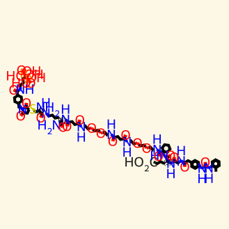 Cc1ccccc1NC(=O)Nc1ccc(CC(=O)NCC(=O)N[C@@H](CCCC(=O)O)C(=O)NC2(C(=O)NCCOCCOCCNC(=O)CCC(=O)NCCOCCOCCNC(=O)CCC(=O)N[C@@H](CCCCNC(=O)[C@H](N)CSC3CC(=O)N(CC4CCC(C(=O)NCCCC(O)(P(=O)(O)O)P(=O)(O)O)CC4)C3=O)C(N)=O)CCCCC2)cc1